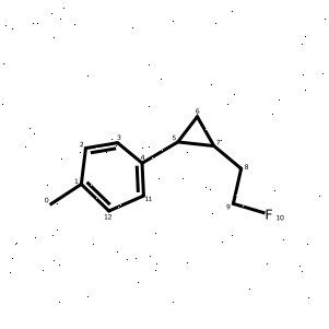 Cc1ccc(C2CC2CCF)cc1